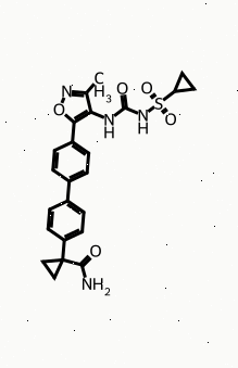 Cc1noc(-c2ccc(-c3ccc(C4(C(N)=O)CC4)cc3)cc2)c1NC(=O)NS(=O)(=O)C1CC1